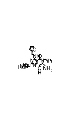 CC(C)CN(C(=O)c1cnc(C(C)(C)C)nc1NCc1ccco1)[C@@H](CN)CO.Cl.Cl